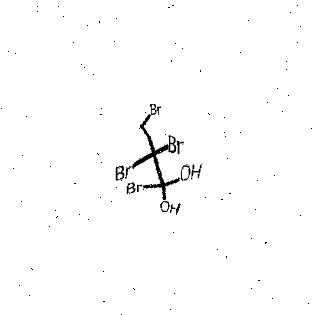 OC(O)(Br)C(Br)(Br)CBr